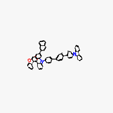 c1cc(-c2ccc3ccccc3c2)cc(N(c2ccc(-c3ccc(-c4ccc(-n5c6ccccc6c6ccccc65)cc4)cc3)cc2)c2ccccc2-c2cccc3oc4ccccc4c23)c1